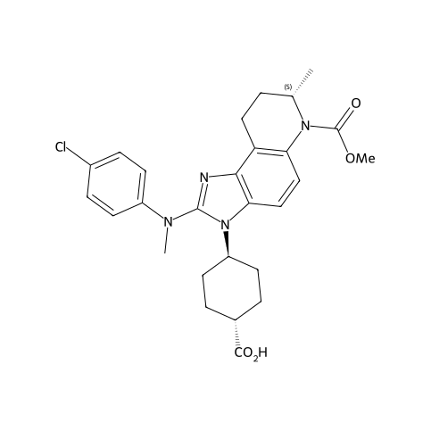 COC(=O)N1c2ccc3c(nc(N(C)c4ccc(Cl)cc4)n3[C@H]3CC[C@H](C(=O)O)CC3)c2CC[C@@H]1C